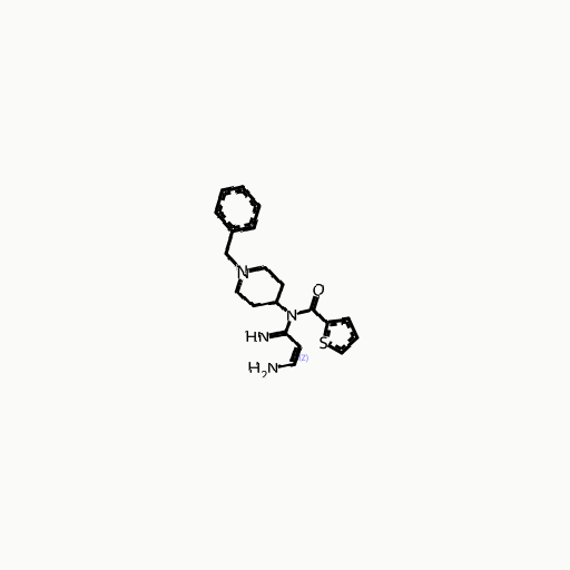 N=C(/C=C\N)N(C(=O)c1cccs1)C1CCN(Cc2ccccc2)CC1